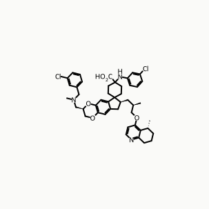 C[C@@H](COc1ccnc2c1[C@H](C)CCC2)C[C@H]1Cc2cc3c(cc2C12CCC(Nc1cccc(Cl)c1)(C(=O)O)CC2)O[C@H](CN(C)Cc1cccc(Cl)c1)CO3